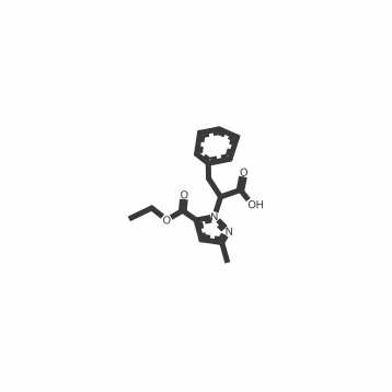 CCOC(=O)c1cc(C)nn1C(Cc1ccccc1)C(=O)O